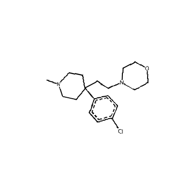 CN1CCC(CCN2CCOCC2)(c2ccc(Cl)cc2)CC1